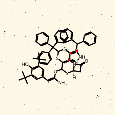 CC(C)(C)c1cc(/C=C(/N)OC2S[C@@H]3CC(=O)N3C(C(=O)OC(c3ccccc3)c3ccccc3)=C2SC(Sc2c[nH]nn2)C(c2ccccc2)(c2ccccc2)c2ccccc2)cc(C(C)(C)C)c1O